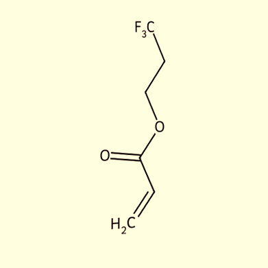 C=CC(=O)OCCC(F)(F)F